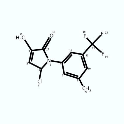 CC1=CC(Cl)N(c2cc(C)cc(C(F)(F)F)c2)C1=O